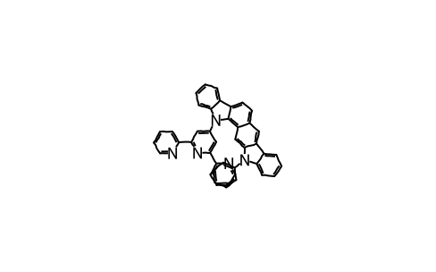 c1ccc(-n2c3ccccc3c3cc4ccc5c6ccccc6n(-c6cc(-c7ccccn7)nc(-c7ccccn7)c6)c5c4cc32)cc1